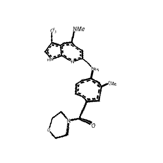 CNc1cc(Nc2ccc(C(=O)N3CCOCC3)cc2OC)nc2[nH]cc(C(F)(F)F)c12